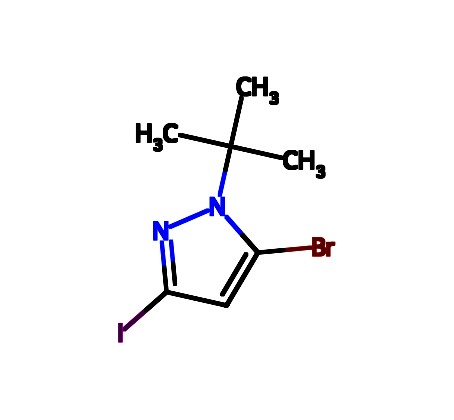 CC(C)(C)n1nc(I)cc1Br